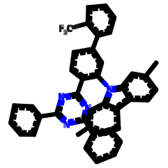 Cc1ccc2c3ccc(C)cc3n(-c3cc(-c4ccccc4C(F)(F)F)ccc3-c3nc(-c4ccccc4)nc(-c4ccccc4)n3)c2c1